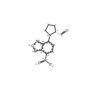 O=C[C@H]1CCCN1c1ccc([N+](=O)[O-])c2nonc12